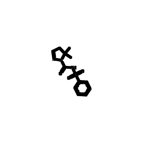 CC1(C)CC=NN1C(=O)NS(=O)(=O)c1ccccc1